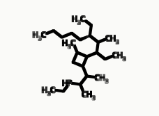 CCCCC[C@@H](CC)C(C)C(CC)C1C(C)CC1C(C)C(C)PCC